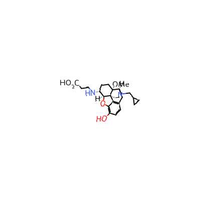 CO[C@@]12CC[C@@H](NCCC(=O)O)[C@@H]3Oc4c(O)ccc5c4[C@@]31CCN(CC1CC1)[C@@H]2C5